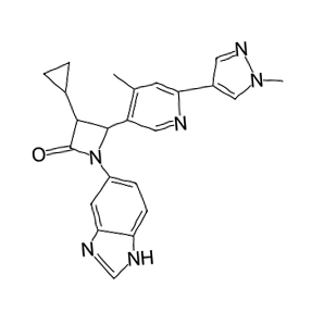 Cc1cc(-c2cnn(C)c2)ncc1C1C(C2CC2)C(=O)N1c1ccc2[nH]cnc2c1